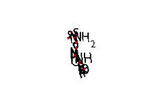 CC(C)c1ccccc1N(/N=C/c1ccc(-c2cc(NC(=O)c3ccc(OC(F)(F)F)cc3)n(C)n2)cc1)C(N)=S